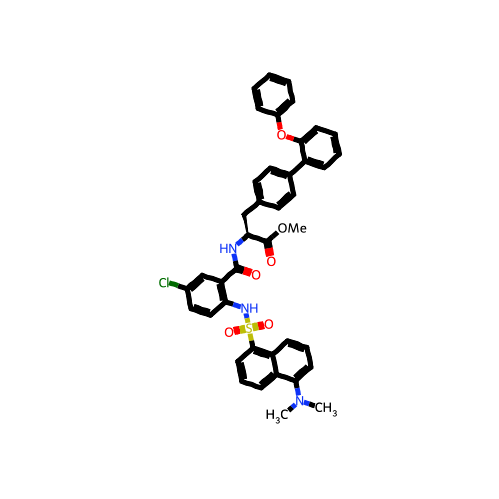 COC(=O)[C@H](Cc1ccc(-c2ccccc2Oc2ccccc2)cc1)NC(=O)c1cc(Cl)ccc1NS(=O)(=O)c1cccc2c(N(C)C)cccc12